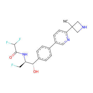 N#CC1(c2ccc(-c3ccc([C@H](O)[C@@H](CF)NC(=O)C(F)F)cc3)cn2)CNC1